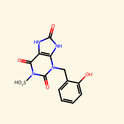 O=c1[nH]c2c(=O)n(S(=O)(=O)O)c(=O)n(Cc3ccccc3O)c2[nH]1